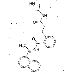 C[C@@H](NC(=O)c1ccccc1CCC(=O)NC1CNC1)c1cccc2ccccc12